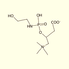 C[N+](C)(C)CC(CC(=O)[O-])OP(=O)(O)NCCO